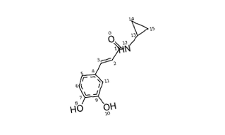 O=C(/C=C/c1ccc(O)c(O)c1)NC1CC1